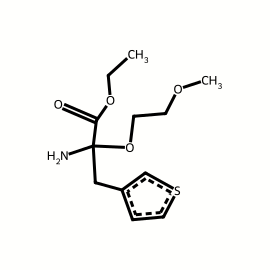 CCOC(=O)C(N)(Cc1ccsc1)OCCOC